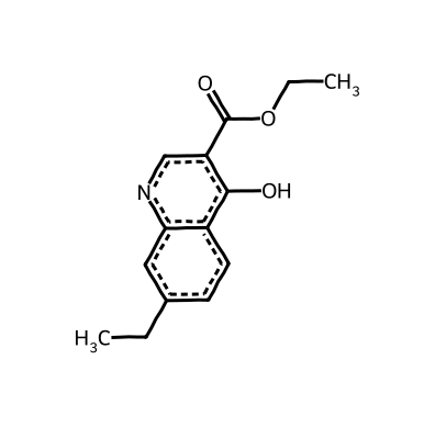 CCOC(=O)c1cnc2cc(CC)ccc2c1O